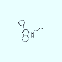 CCCCNc1cc(-c2ccccc2)cc2ccccc12